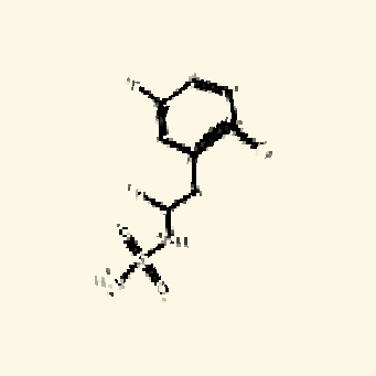 NS(=O)(=O)NC(F)Cc1cc(F)ccc1F